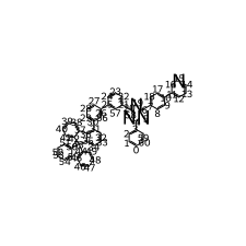 c1ccc(-c2nc(-c3ccc(-c4cccnc4)cc3)nc(-c3cccc(-c4cccc(-c5cccc6c5-c5ccccc5C6(c5ccccc5)c5ccccc5)c4)c3)n2)cc1